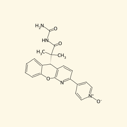 CC(C)(C(=O)NC(N)=O)[C@H]1c2ccccc2Oc2nc(-c3cc[n+]([O-])cc3)ccc21